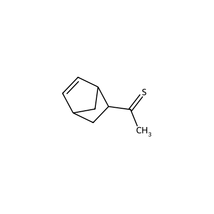 CC(=S)C1CC2C=CC1C2